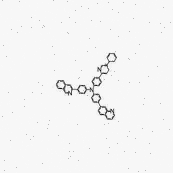 C1=CCC([C@@H]2C=NC(c3ccc(N(c4ccc(-c5ccc6cccnc6c5)cc4)c4ccc(-c5cc6ccccc6cn5)cc4)cc3)=CC2)C=C1